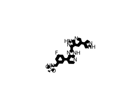 CS(=O)(=O)NCc1cc(F)cc(-c2ccnc3[nH]c(-c4n[nH]c5ncc(-c6cn[nH]c6)cc45)nc23)c1